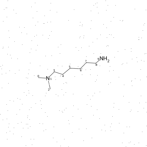 CN(C)CCC[CH]CCN